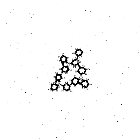 c1ccc(-c2cc(-n3c4ccccc4c4cc(-c5ccc6c7ccccc7n(-c7cccc(-c8ccc9oc%10cccnc%10c9c8)n7)c6c5)ccc43)nc(-c3ccccc3)n2)cc1